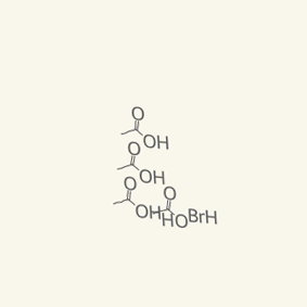 Br.CC(=O)O.CC(=O)O.CC(=O)O.CC(=O)O